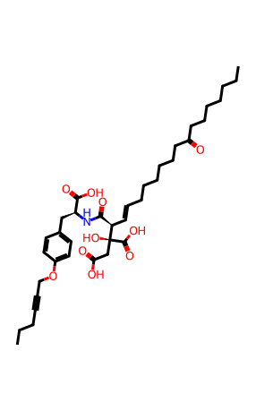 CCCC#CCOc1ccc(C[C@H](NC(=O)[C@@H](/C=C/CCCCCCC(=O)CCCCCCC)[C@@](O)(CC(=O)O)C(=O)O)C(=O)O)cc1